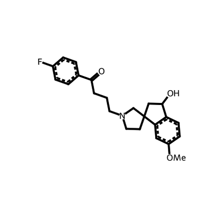 COc1ccc2c(c1)C1(CCN(CCCC(=O)c3ccc(F)cc3)C1)CC2O